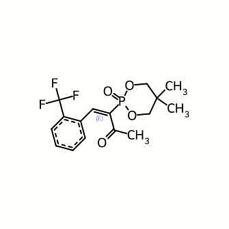 CC(=O)/C(=C\c1ccccc1C(F)(F)F)P1(=O)OCC(C)(C)CO1